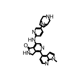 Cn1ccc2c(-c3ncc(Nc4ccc(N5C6CCC5CNC6)cn4)c4c3CNC4=O)ccnc21